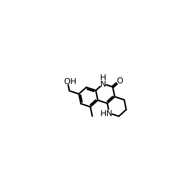 Cc1cc(CO)cc2[nH]c(=O)c3c(c12)NCCC3